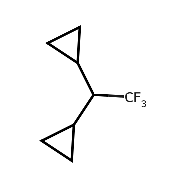 FC(F)(F)C(C1CC1)C1CC1